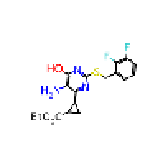 CCOC(=O)C1CC1c1nc(SCc2cccc(F)c2F)nc(O)c1N